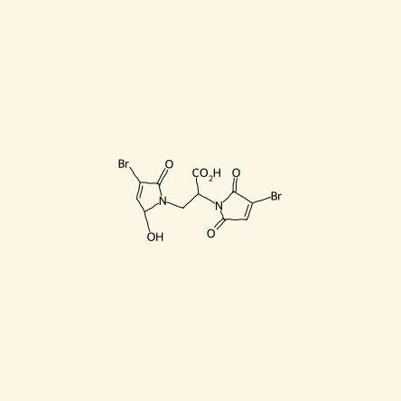 O=C(O)C(CN1C(=O)C(Br)=CC1O)N1C(=O)C=C(Br)C1=O